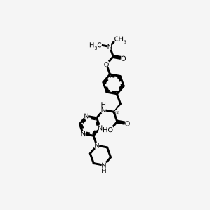 CN(C)C(=O)Oc1ccc(C[C@H](Nc2ncnc(N3CCNCC3)n2)C(=O)O)cc1